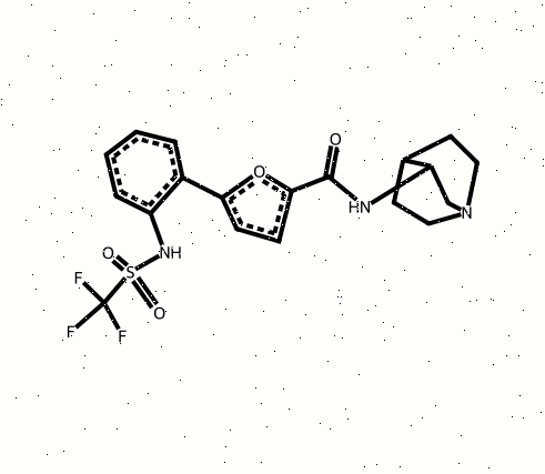 O=C(NC1CN2CCC1CC2)c1ccc(-c2ccccc2NS(=O)(=O)C(F)(F)F)o1